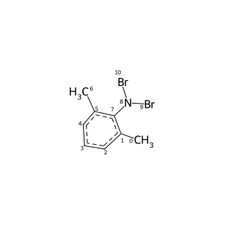 Cc1cccc(C)c1N(Br)Br